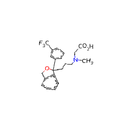 CN(CCCC1(c2cccc(C(F)(F)F)c2)OCc2ccccc21)CC(=O)O